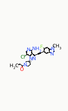 C=CC(=O)N1CC[C@H](n2nc(C#Cc3cc4ncn(C)c4cc3F)c3c(N)ncc(Cl)c32)C1